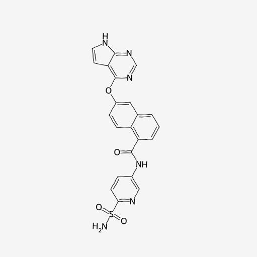 NS(=O)(=O)c1ccc(NC(=O)c2cccc3cc(Oc4ncnc5[nH]ccc45)ccc23)cn1